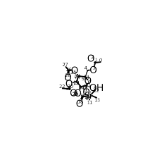 CC(=O)OC[C@H]1O[C@@](O)(O[Si](C)(C)C)[C@H](OC(C)=O)[C@@H](OC(C)=O)[C@H]1OC(C)=O